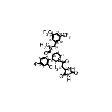 Cc1cc(F)ccc1[C@@H]1CN(C(=O)CC2NC(=O)NC2=O)CC[C@H]1C(=O)N(C)Cc1cc(C(F)(F)F)cc(C(F)(F)F)c1